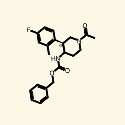 CC(=O)N1CCC(NC(=O)OCc2ccccc2)[C@@H](c2ccc(F)cc2C)C1